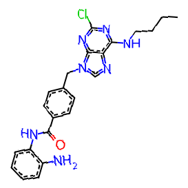 CCCCNc1nc(Cl)nc2c1ncn2Cc1ccc(C(=O)Nc2ccccc2N)cc1